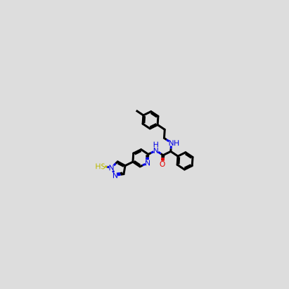 Cc1ccc(CCNC(C(=O)Nc2ccc(-c3cnn(S)c3)cn2)c2ccccc2)cc1